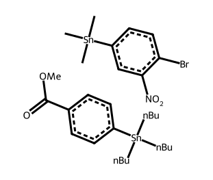 CCC[CH2][Sn]([CH2]CCC)([CH2]CCC)[c]1ccc(C(=O)OC)cc1.[CH3][Sn]([CH3])([CH3])[c]1ccc(Br)c([N+](=O)[O-])c1